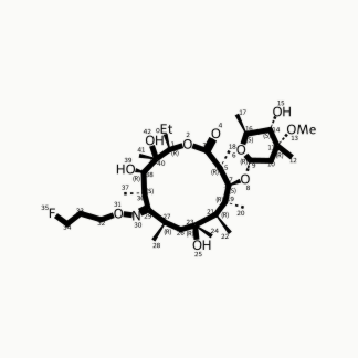 CC[C@H]1OC(=O)[C@H](C)[C@@H](O[C@H]2C[C@@](C)(OC)[C@@H](O)[C@H](C)O2)[C@H](C)[C@@H](C)[C@](C)(O)C[C@@H](C)C(=NOCCCF)[C@H](C)[C@@H](O)[C@]1(C)O